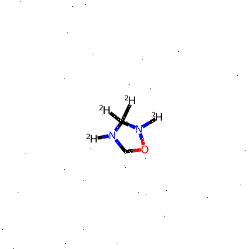 [2H]N1CON([2H])C1([2H])[2H]